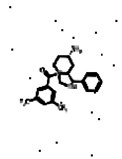 CC(C)(C)C[N+]1(C(=O)c2cc(C(F)(F)F)cc(C(F)(F)F)c2)CC[C@H](N)C[C@H]1Cc1ccccc1